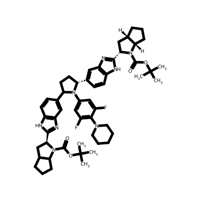 CC(C)(C)OC(=O)N1C2CCCC2C[C@H]1c1nc2cc(C3CC[C@H](c4ccc5[nH]c([C@@H]6C[C@@H]7CCC[C@@H]7N6C(=O)OC(C)(C)C)nc5c4)N3c3cc(F)c(N4CCCCC4)c(F)c3)ccc2[nH]1